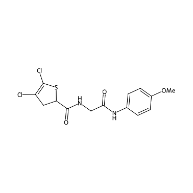 COc1ccc(NC(=O)CNC(=O)C2CC(Cl)=C(Cl)S2)cc1